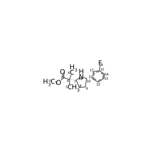 COC(=O)C(C)(C)[C@H]1CC[C@@H](c2cccc(F)c2)N1